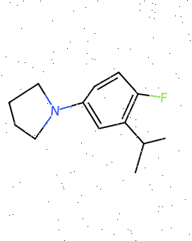 CC(C)c1cc(N2CCCC2)ccc1F